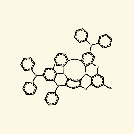 CC(C)(C)c1cc2c3c(c1)Oc1cc(N(c4ccccc4)c4ccccc4)cc4c1B3c1cc3c(cc1O2)N(c1ccccc1)c1cc(N(c2ccccc2)c2ccccc2)cc2c1B3c1c(cccc1O2)O4